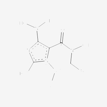 CC(=O)CN(C)C(=O)c1c(N(C)C=O)nc(C)n1SF